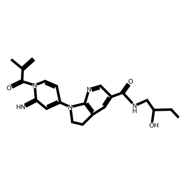 C=C(C)C(=O)n1ccc(N2CCc3cc(C(=O)NCC(O)CC)cnc32)cc1=N